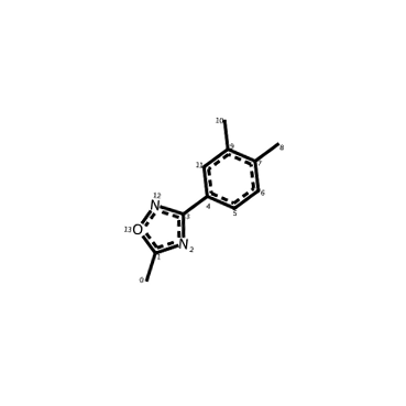 Cc1nc(-c2ccc(C)c(C)c2)no1